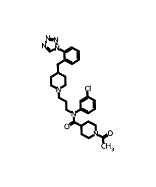 CC(=O)N1CCC(C(=O)N(CCCN2CCC(Cc3ccccc3-n3cnnn3)CC2)c2cccc(Cl)c2)CC1